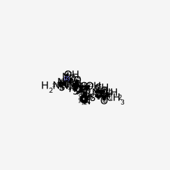 C[C@H](N)C(=O)N(CCSCc1ncccc1SC1=C(OC(=O)O)N2C(=O)[C@@H](NC(=O)/C(=N\O)c3nsc(N)n3)[C@@H]2SC1)C(=O)[C@H](C)N